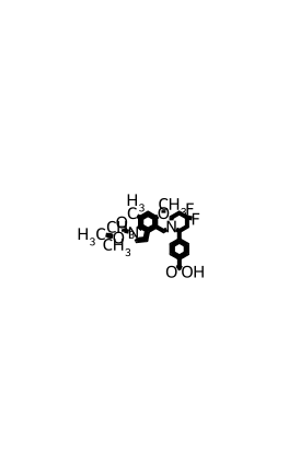 COc1cc(C)c2c(ccn2C(=O)OC(C)(C)C)c1CN1CCC(F)(F)CC1c1ccc(C(=O)O)cc1